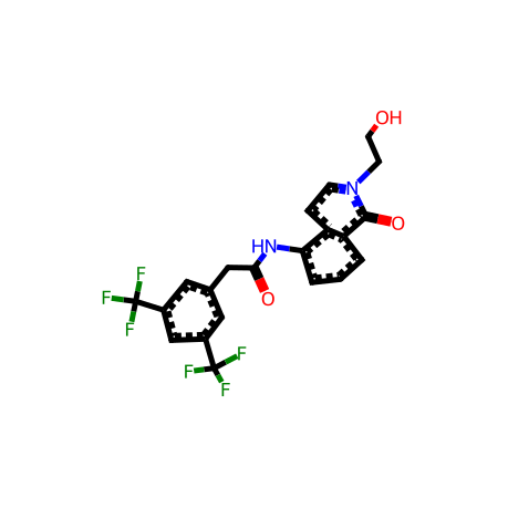 O=C(Cc1cc(C(F)(F)F)cc(C(F)(F)F)c1)Nc1cccc2c(=O)n(CCO)ccc12